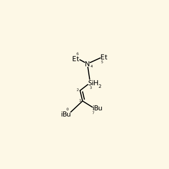 CCC(C)C(=C[SiH2]N(CC)CC)C(C)CC